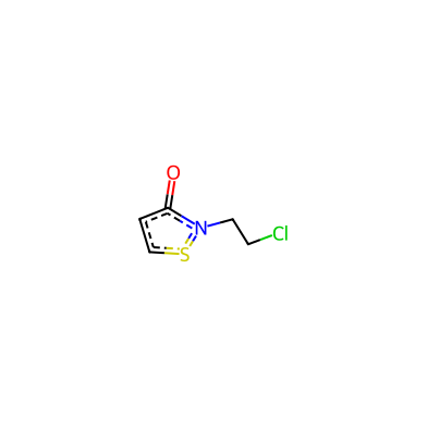 O=c1ccsn1CCCl